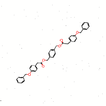 O=C(Cc1ccc(OCc2ccccc2)cc1)OCc1ccc(COC(=O)Cc2ccc(OCc3ccccc3)cc2)cc1